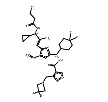 C=Nn1cc([C@@H](NC(=O)c2nonc2CN2CC(F)(F)C2)C2CCC(F)(F)CC2)nc1/C=C(\C)[C@H](NC(=O)CCC(F)(F)F)C1CC1